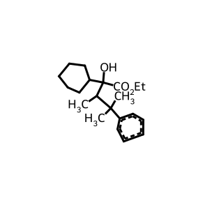 CCOC(=O)C(O)(C1CCCCC1)C(C)C(C)(C)c1ccccc1